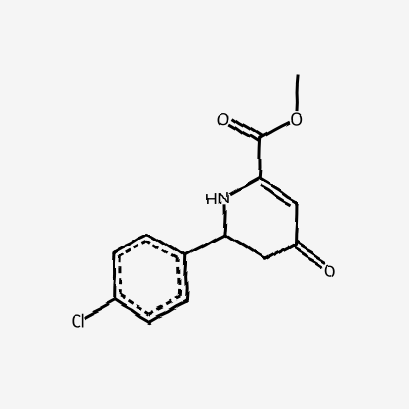 COC(=O)C1=CC(=O)CC(c2ccc(Cl)cc2)N1